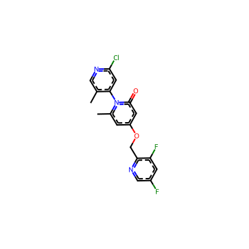 Cc1cnc(Cl)cc1-n1c(C)cc(OCc2ncc(F)cc2F)cc1=O